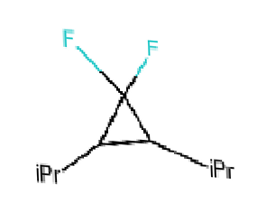 CC(C)C1C(C(C)C)C1(F)F